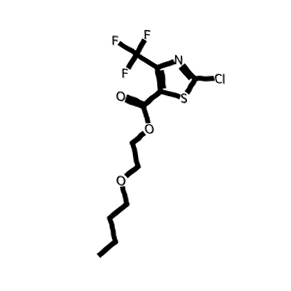 CCCCOCCOC(=O)c1sc(Cl)nc1C(F)(F)F